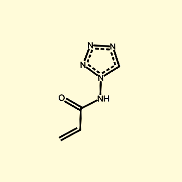 C=CC(=O)Nn1cnnn1